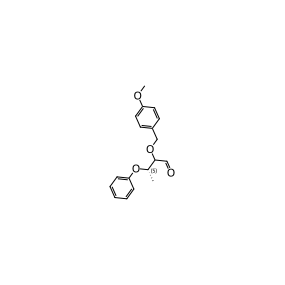 COc1ccc(COC(C=O)[C@H](C)Oc2ccccc2)cc1